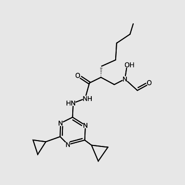 CCCCC[C@H](CN(O)C=O)C(=O)NNc1nc(C2CC2)nc(C2CC2)n1